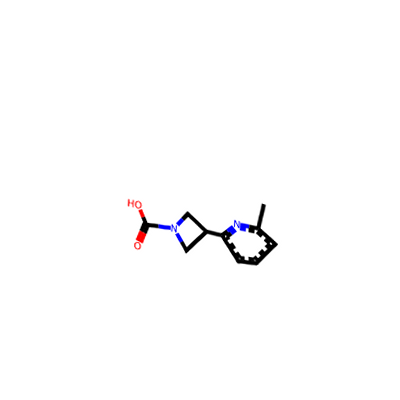 Cc1cccc(C2CN(C(=O)O)C2)n1